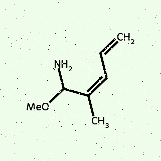 C=C/C=C(/C)C(N)OC